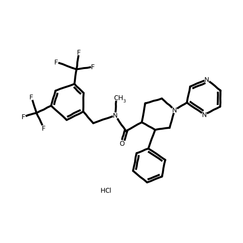 CN(Cc1cc(C(F)(F)F)cc(C(F)(F)F)c1)C(=O)C1CCN(c2cnccn2)CC1c1ccccc1.Cl